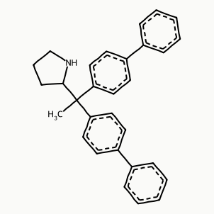 CC(c1ccc(-c2ccccc2)cc1)(c1ccc(-c2ccccc2)cc1)C1CCCN1